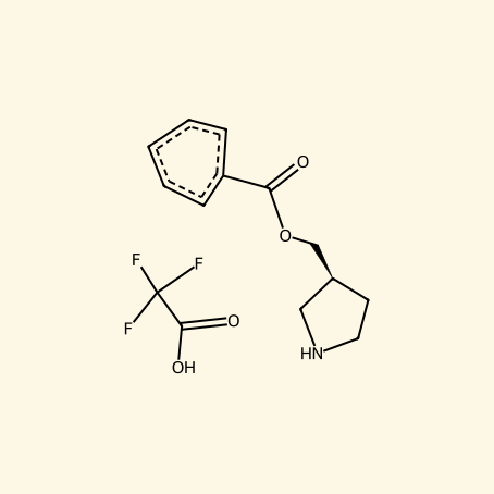 O=C(O)C(F)(F)F.O=C(OC[C@H]1CCNC1)c1ccccc1